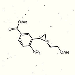 COCC[C@@H]1CC1c1cc(C(=O)OC)ccc1[N+](=O)[O-]